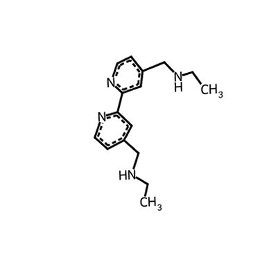 CCNCc1ccnc(-c2cc(CNCC)ccn2)c1